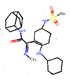 C/N=C(/C(=O)NC1C2CC3CC(C2)C1C3)C1=C(NC2CCCCC2)CCC(NS(=O)(=O)NC)C1